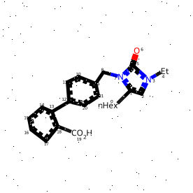 CCCCCCc1cn(CC)c(=O)n1Cc1ccc(-c2ccccc2C(=O)O)cc1